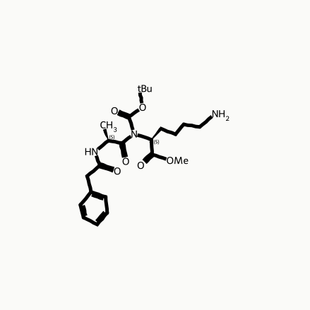 COC(=O)[C@H](CCCCN)N(C(=O)OC(C)(C)C)C(=O)[C@H](C)NC(=O)Cc1ccccc1